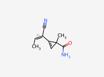 C/C=C(/C#N)C1=CC1(C)C(N)=O